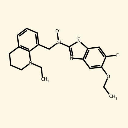 CCOc1cc2nc([S+]([O-])Cc3cccc4c3N(CC)CCC4)[nH]c2cc1F